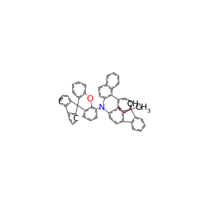 CC1(C)c2ccccc2-c2ccc(N(c3cccc4c3Oc3ccccc3C43c4ccccc4-c4ccccc43)c3ccc4ccccc4c3-c3ccccc3)cc21